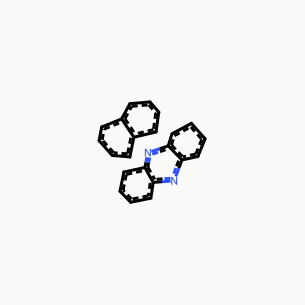 c1ccc2ccccc2c1.c1ccc2nc3ccccc3nc2c1